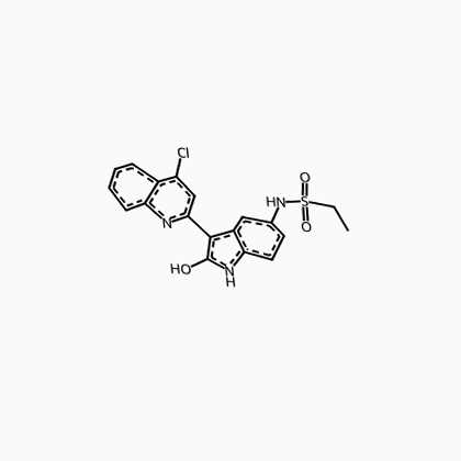 CCS(=O)(=O)Nc1ccc2[nH]c(O)c(-c3cc(Cl)c4ccccc4n3)c2c1